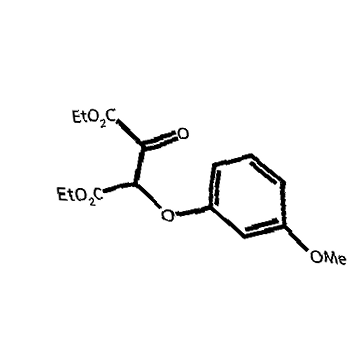 CCOC(=O)C(=O)C(Oc1cccc(OC)c1)C(=O)OCC